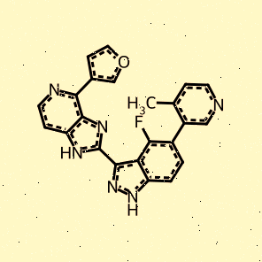 Cc1ccncc1-c1ccc2[nH]nc(-c3nc4c(-c5ccoc5)nccc4[nH]3)c2c1F